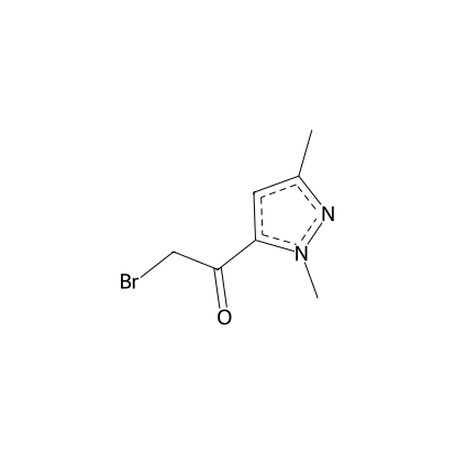 Cc1cc(C(=O)CBr)n(C)n1